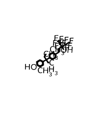 CCC(CC)(c1ccc(O)c(C)c1)c1ccc(/C=C/C(O)(C(F)(F)C(F)(F)F)C(F)(F)C(F)(F)F)c(C)c1